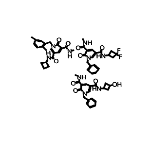 CNC(=O)c1cc(C(=O)NC2CC(F)(F)C2)cn(Cc2ccccc2)c1=O.CNC(=O)c1cc(C(=O)NC2CC(O)C2)cn(Cc2ccccc2)c1=O.CNC(=O)c1cc(C(=O)NC2CCC2)cn(Cc2cc(C)ccc2C)c1=O